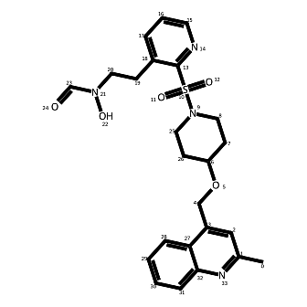 Cc1cc(COC2CCN(S(=O)(=O)c3ncccc3CCN(O)C=O)CC2)c2ccccc2n1